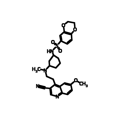 COc1ccc2ncc(C#N)c(CCN(C)C3CCCC(NS(=O)(=O)c4ccc5c(c4)OCCO5)C3)c2c1